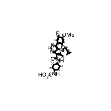 COc1cc(OCC2CC2)c(-c2ncnc3c(C(=O)NC4CCC(NC(=O)O)CC4)c(C)[nH]c23)cc1F